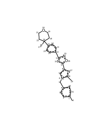 Cc1ccc(Cn2cc(-c3nc(-c4ccc(C5(F)CCOCC5)cc4)no3)nc2C)cc1